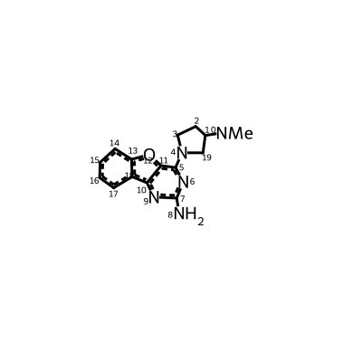 CNC1CCN(c2nc(N)nc3c2oc2ccccc23)C1